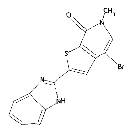 Cn1cc(Br)c2cc(-c3nc4ccccc4[nH]3)sc2c1=O